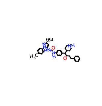 Cc1ccc(-n2nc(C(C)(C)C)cc2NC(=O)Nc2ccc(C(C(=O)CCc3ccccc3)C3CCNCC3)cc2)cc1